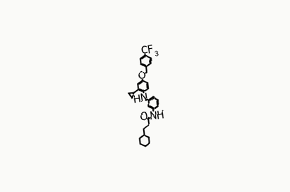 O=C(CCC1CCCCC1)Nc1cccc(Nc2ccc(OCc3ccc(C(F)(F)F)cc3)cc2C2CC2)c1